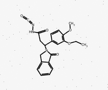 CCOc1cc(C(CC(=O)NN=C=O)N2Cc3ccccc3C2=O)ccc1OC